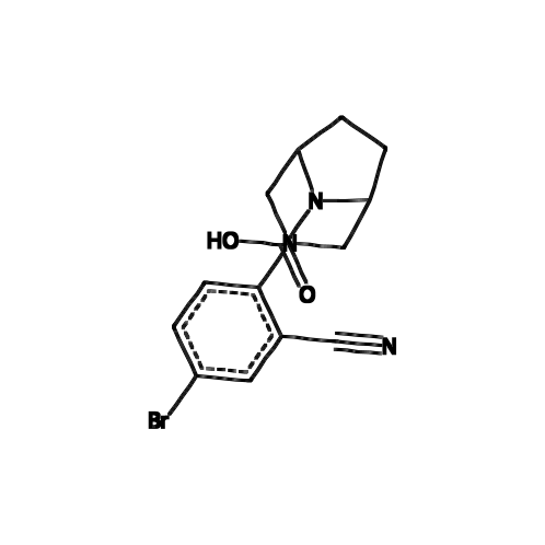 N#Cc1cc(Br)ccc1N1CC2CCC(C1)N2C(=O)O